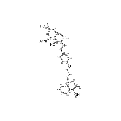 CC(=O)Nc1cc(S(=O)(=O)O)cc2cc(C)c(N=Nc3ccc(OCCOc4cc(C)c(O)c5ccccc45)cc3)c(O)c12